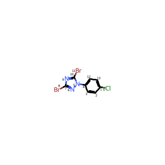 Clc1ccc(-n2nc(Br)nc2Br)cc1